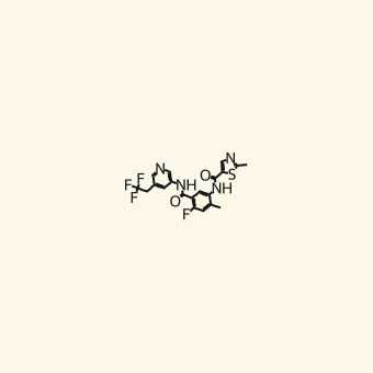 Cc1ncc(C(=O)Nc2cc(C(=O)Nc3cncc(CC(F)(F)F)c3)c(F)cc2C)s1